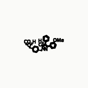 COc1cccc(-c2nn(C[C@H]3CC[C@H](COCC(=O)O)CC3)c(C)c2-c2ccccc2)c1